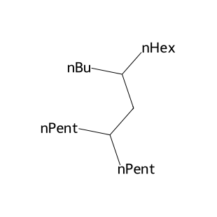 CCCCCCC(CCCC)CC(CCCCC)CCCCC